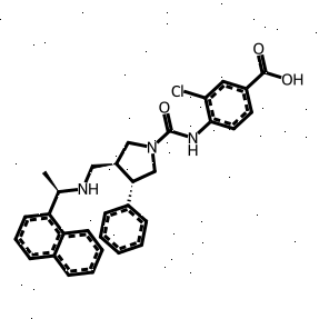 C[C@@H](NC[C@H]1CN(C(=O)Nc2ccc(C(=O)O)cc2Cl)C[C@@H]1c1ccccc1)c1cccc2ccccc12